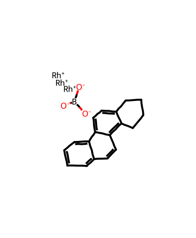 [O-]B([O-])[O-].[Rh+].[Rh+].[Rh+].c1ccc2c(c1)ccc1c3c(ccc12)CCCC3